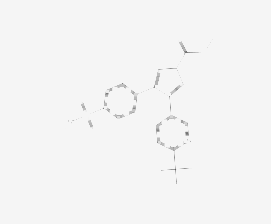 COC(=O)C1C=C(c2ccc(S(N)(=O)=O)cc2)C(c2ccc(C(F)(F)F)nc2)=C1